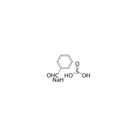 O=Cc1ccccc1.O=S(O)O.[NaH]